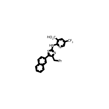 CC(C)Cc1nc(Nc2ncc(C(F)(F)F)cc2C(=O)O)sc1-c1ccc2ccccc2c1